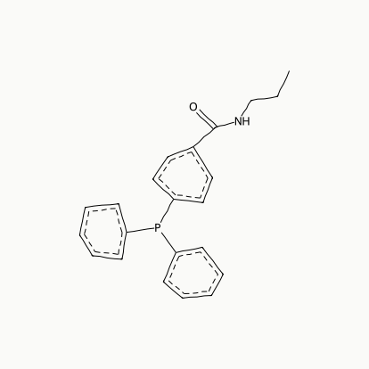 CCCNC(=O)c1ccc(P(c2ccccc2)c2ccccc2)cc1